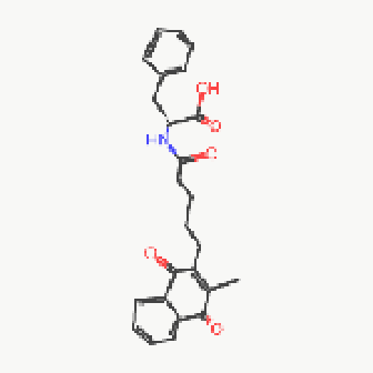 CC1=C(CCCCC(=O)N[C@@H](Cc2ccccc2)C(=O)O)C(=O)c2ccccc2C1=O